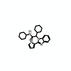 O=C(NC1CCCCC1)C(C1CCCCC1)n1c(-c2ccc[nH]2)nc2ccccc21